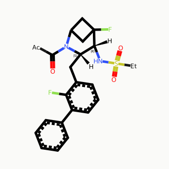 CCS(=O)(=O)N[C@@H]1[C@H](Cc2cccc(-c3ccccc3)c2F)N(C(=O)C(C)=O)C2CC1(F)C2